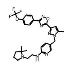 Cc1cc(-c2nc(-c3ccc(OC(F)(F)F)cc3)no2)nn1Cc1ccc(NCCN2CCCC2(C)C)nc1